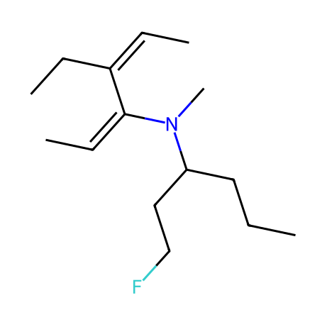 C/C=C(CC)\C(=C/C)N(C)C(CCC)CCF